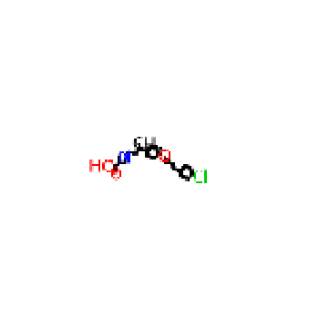 CC(=CCN1CC(C(=O)O)C1)c1ccc(OCCCc2ccc(Cl)cc2)cc1